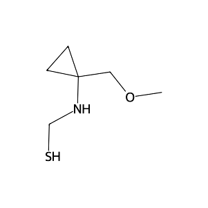 COCC1(NCS)CC1